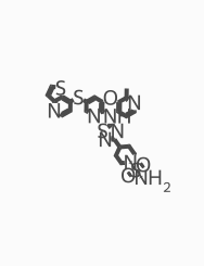 Cc1ncccc1Oc1cc(Sc2ccnc3ccsc23)cnc1Nc1nc(C2CCN(S(N)(=O)=O)CC2)ns1